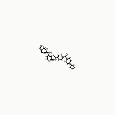 O=C(N1CC=C(C2Cc3c(Nc4ccc5ncsc5c4)ccnc3N2)CC1)N1CCN(C2CCCC2)CC1